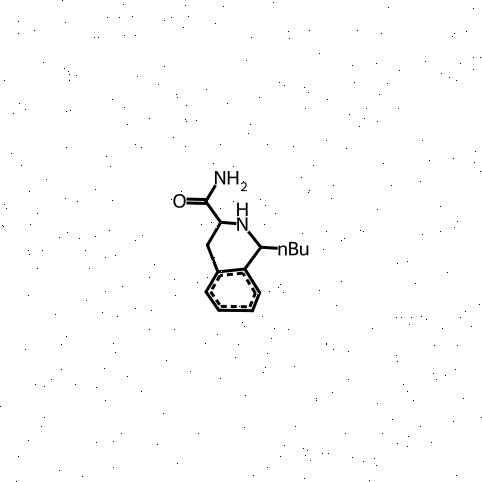 CCCCC1NC(C(N)=O)Cc2ccccc21